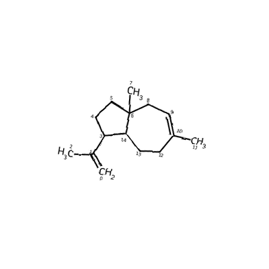 C=C(C)C1CCC2(C)CC=C(C)CCC12